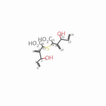 C=CC(O)C(=C)C(SC(C(=C)C(O)C=C)C(=O)O)C(=O)O